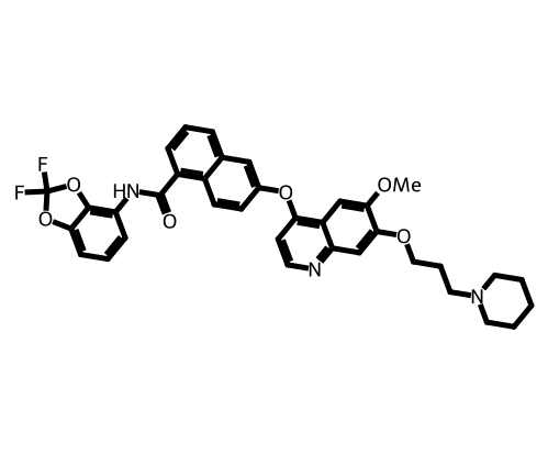 COc1cc2c(Oc3ccc4c(C(=O)Nc5cccc6c5OC(F)(F)O6)cccc4c3)ccnc2cc1OCCCN1CCCCC1